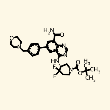 CC(C)(C)OC(=O)N1CCC(F)(F)[C@H](Nc2ncnc3c(C(N)=O)cc(-c4ccc(CN5CCOCC5)cc4)cc23)C1